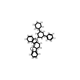 C1=Cc2c(c3c(n2C2CC(c4ccccc4)CC(C4CCCCC4)C2)CCC2c4ccccc4OC32)CC1